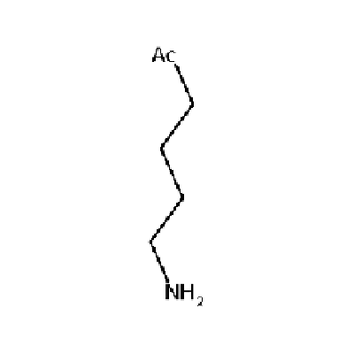 [CH2]C(=O)CCCCN